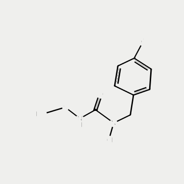 CSNC(=O)N(C)Cc1ccc(Cl)cc1